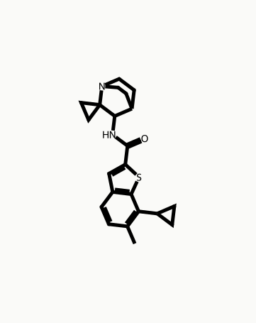 Cc1ccc2cc(C(=O)NC3C4CCN(CC4)C34CC4)sc2c1C1CC1